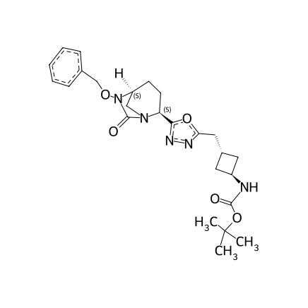 CC(C)(C)OC(=O)N[C@H]1C[C@H](Cc2nnc([C@@H]3CC[C@H]4CN3C(=O)N4OCc3ccccc3)o2)C1